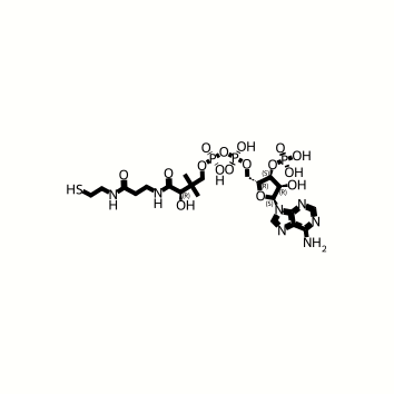 CC(C)(COP(=O)(O)OP(=O)(O)OC[C@H]1O[C@H](n2cnc3c(N)ncnc32)[C@H](O)[C@@H]1OP(=O)(O)O)[C@@H](O)C(=O)NCCC(=O)NCCS